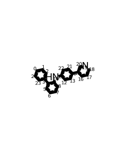 c1ccc(-c2ccccc2Nc2ccc(-c3cccnc3)cc2)cc1